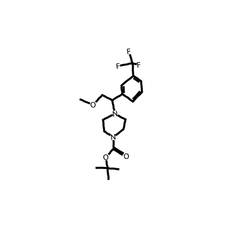 COCC(c1cccc(C(F)(F)F)c1)N1CCN(C(=O)OC(C)(C)C)CC1